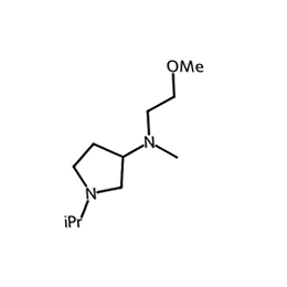 COCCN(C)C1CCN(C(C)C)C1